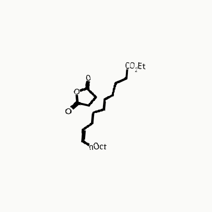 CCCCCCCC/C=C\CCCCCCCC(=O)OCC.O=C1CCC(=O)O1